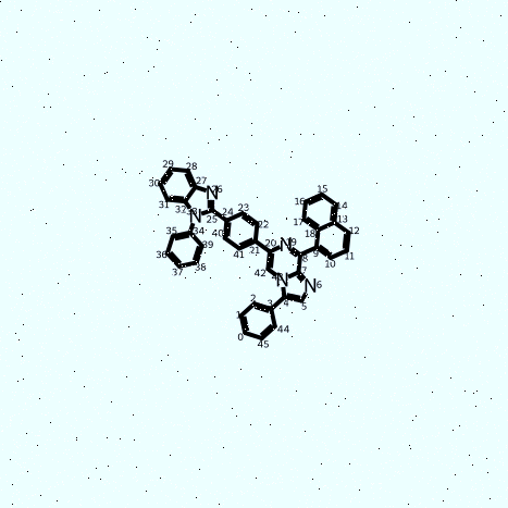 c1ccc(-c2cnc3c(-c4cccc5ccccc45)nc(-c4ccc(-c5nc6ccccc6n5-c5ccccc5)cc4)cn23)cc1